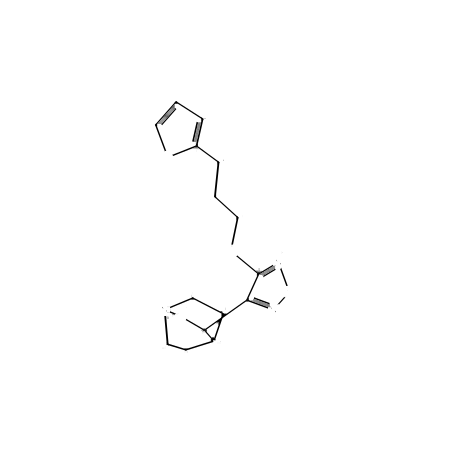 c1csc(CCCOc2nsnc2C2CN3CCC2CC3)c1